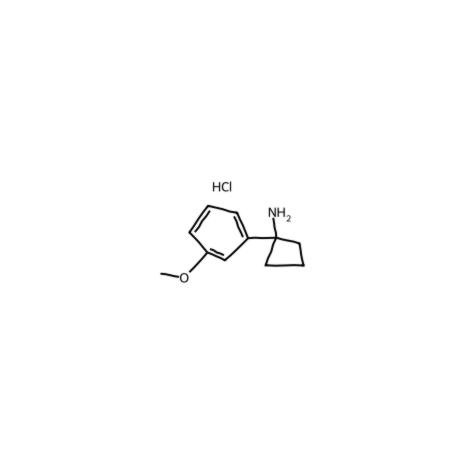 COc1cccc(C2(N)CCC2)c1.Cl